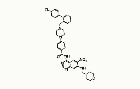 O=C(Nc1ncnc2cc(NCC3CCOCC3)c([N+](=O)[O-])cc12)c1ccc(N2CCN(Cc3ccccc3-c3ccc(Cl)cc3)CC2)cc1